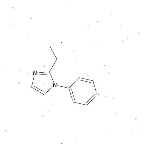 CCc1nccn1-c1cc[c]cc1